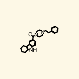 O=C(c1ccc2[nH]c3c(c2c1)CCCC3)N1CCN(CCc2ccccc2)CC1